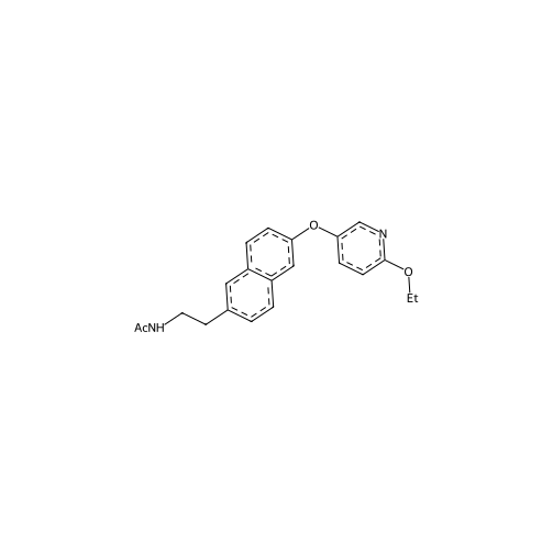 CCOc1ccc(Oc2ccc3cc(CCNC(C)=O)ccc3c2)cn1